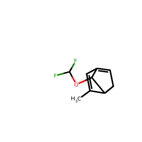 CC1=CC2=CCC1C2OC(F)F